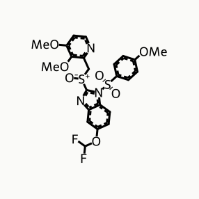 COc1ccc(S(=O)(=O)n2c([S+]([O-])Cc3nccc(OC)c3OC)nc3cc(OC(F)F)ccc32)cc1